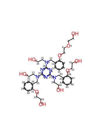 OCCOCCOc1ccccc1CN(CCO)c1nc(N(CCO)Cc2ccccc2OCCO)nc(N(CCO)Cc2ccccc2OCCO)n1